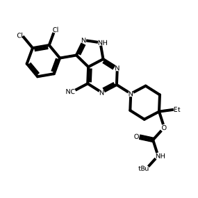 CCC1(OC(=O)NC(C)(C)C)CCN(c2nc(C#N)c3c(-c4cccc(Cl)c4Cl)n[nH]c3n2)CC1